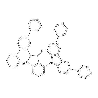 O=C1c2cccc(-n3c4ccc(-c5ccncc5)cc4c4cc(-c5ccncc5)ccc43)c2C(=O)N1c1cc(-c2ccccc2)ccc1-c1ccccc1